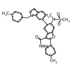 CNC(=O)c1c(-c2ccc(C)cc2)oc2cc(N(C)S(C)(=O)=O)c(-c3ccc4ccn(Cc5ccc(C)cc5)c4c3)cc12